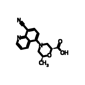 C[C@@H]1CN(c2ccc(C#N)c3ncccc23)C[C@H](C(=O)O)O1